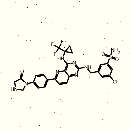 NS(=O)(=O)c1cc(Cl)cc(CNc2nc(NC3(C(F)(F)F)CC3)c3nc(-c4ccc(N5CNCC5=O)cc4)ccc3n2)c1